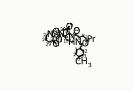 Cc1ccc(C(=O)NC(CC(C)C)C(=O)N2CCC3C2C(=O)CN3S(=O)(=O)C2=NC=CCC2=O)cc1